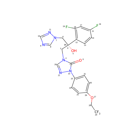 O=c1n(C[C@@](O)(Cn2cncn2)c2ccc(F)cc2F)cnn1-c1ccc(OCC(F)(F)F)cc1